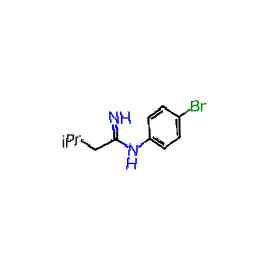 CC(C)CC(=N)Nc1ccc(Br)cc1